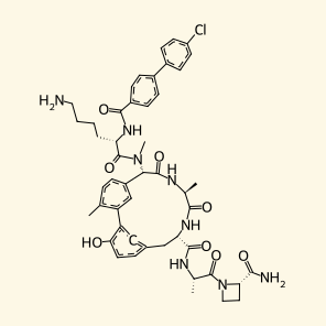 Cc1ccc2cc1-c1cc(ccc1O)C[C@@H](C(=O)N[C@@H](C)C(=O)N1CC[C@H]1C(N)=O)NC(=O)[C@H](C)NC(=O)[C@H]2N(C)C(=O)[C@H](CCCCN)NC(=O)c1ccc(-c2ccc(Cl)cc2)cc1